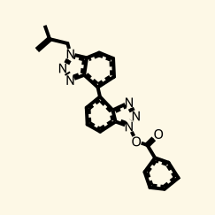 C=C(C)Cn1nnc2c(-c3cccc4c3nnn4OC(=O)c3ccccc3)cccc21